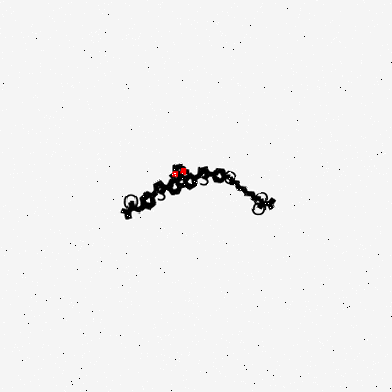 C=C(C)C(=O)Cc1ccc(-c2ccc(-c3ccc4c(c3)C3(c5cc(-c6ccc(-c7ccc(OCCCCCCCOC(=O)C(=C)C)cc7)s6)ccc5-4)C4(C)CCC3(C)CC4)s2)cc1